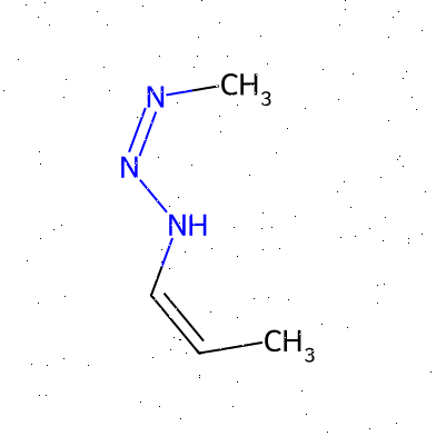 C/C=C\N/N=N\C